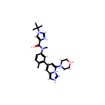 Cc1ccc(N(C)C(=O)c2cn(C(C)(C)C)cn2)cc1-c1cc(N2CCOCC2)n2cncc2c1